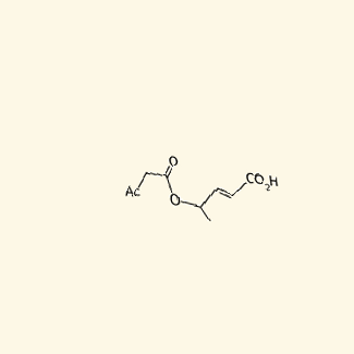 CC(=O)CC(=O)OC(C)C=CC(=O)O